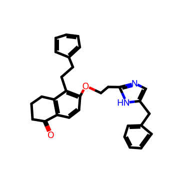 O=C1CCCc2c1ccc(OCCc1ncc(Cc3ccccc3)[nH]1)c2CCc1ccccc1